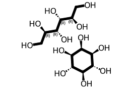 OC[C@@H](O)[C@@H](O)[C@H](O)[C@H](O)CO.O[C@H]1[C@H](O)[C@@H](O)[C@H](O)[C@@H](O)[C@H]1O